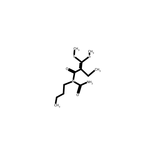 CCCCN(C(N)=O)C(=O)C(CC)=C(SC)SC